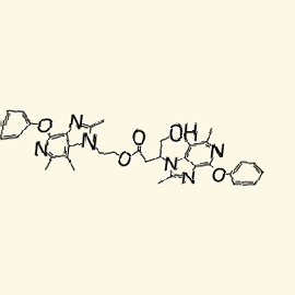 Cc1nc(Oc2ccccc2)c2nc(C)n(CCOC(=O)CC(CO)n3c(C)nc4c(Oc5ccccc5)nc(C)c(C)c43)c2c1C